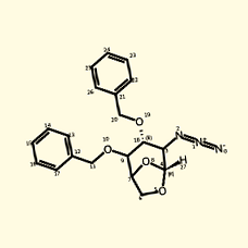 [N-]=[N+]=NC1[C@@H]2OCC(O2)C(OCc2ccccc2)[C@@H]1OCc1ccccc1